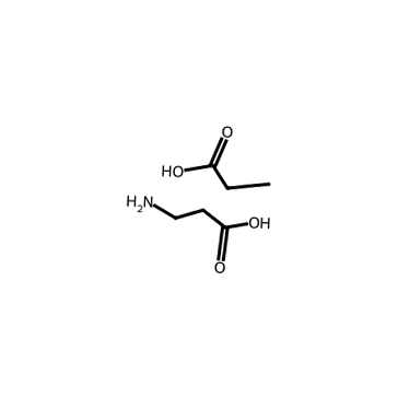 CCC(=O)O.NCCC(=O)O